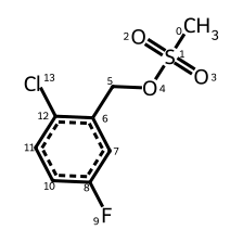 CS(=O)(=O)OCc1cc(F)ccc1Cl